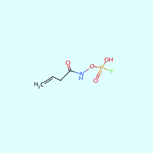 C=CCC(=O)NOP(=O)(O)F